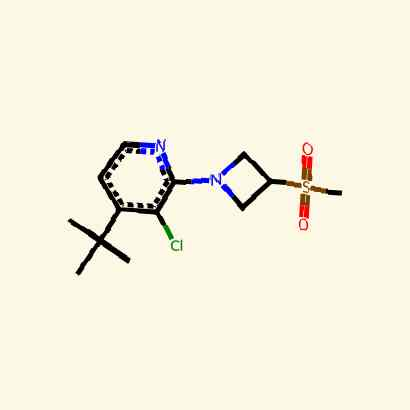 CC(C)(C)c1ccnc(N2CC(S(C)(=O)=O)C2)c1Cl